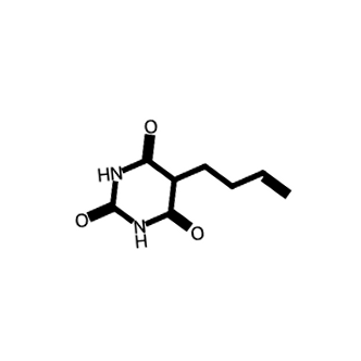 C=CCCC1C(=O)NC(=O)NC1=O